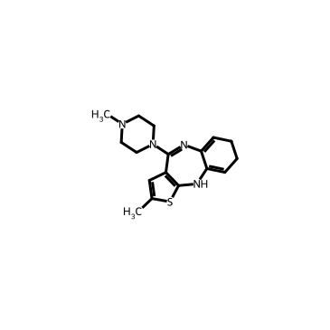 Cc1cc2c(s1)NC1=CCCC=C1N=C2N1CCN(C)CC1